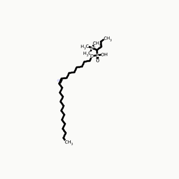 CCCCCCCCCCCCC/C=C\CCCCCCCOP(=O)(O)C(CCC)[N+](C)(C)C